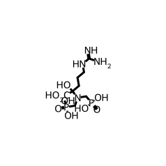 N=C(N)NCCCC(O)(C(=O)O)N(CP(=O)(O)O)CP(=O)(O)O